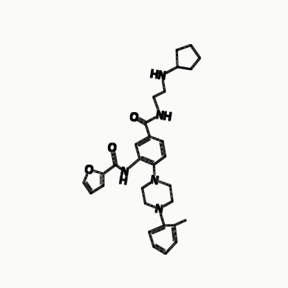 Cc1ccccc1N1CCN(c2ccc(C(=O)NCCNC3CCCC3)cc2NC(=O)c2ccco2)CC1